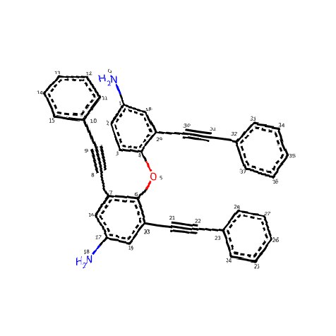 Nc1ccc(Oc2c(C#Cc3ccccc3)cc(N)cc2C#Cc2ccccc2)c(C#Cc2ccccc2)c1